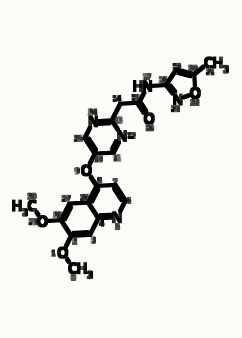 COc1cc2nccc(Oc3cnc(CC(=O)Nc4cc(C)on4)nc3)c2cc1OC